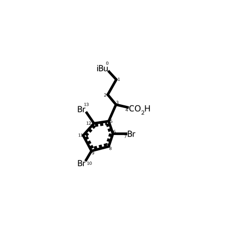 CCC(C)CCC(C(=O)O)c1c(Br)cc(Br)cc1Br